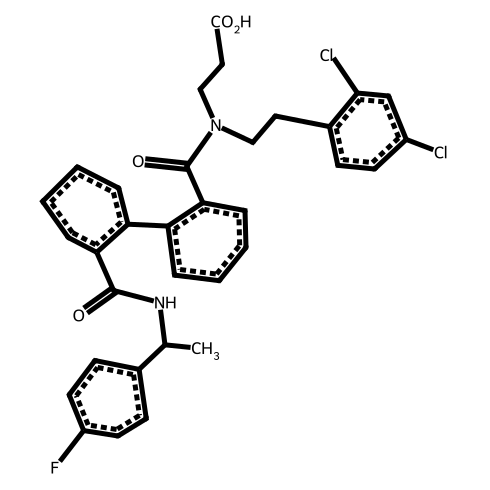 CC(NC(=O)c1ccccc1-c1ccccc1C(=O)N(CCC(=O)O)CCc1ccc(Cl)cc1Cl)c1ccc(F)cc1